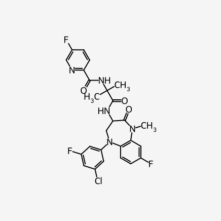 CN1C(=O)C(NC(=O)C(C)(C)NC(=O)c2ccc(F)cn2)CN(c2cc(F)cc(Cl)c2)c2ccc(F)cc21